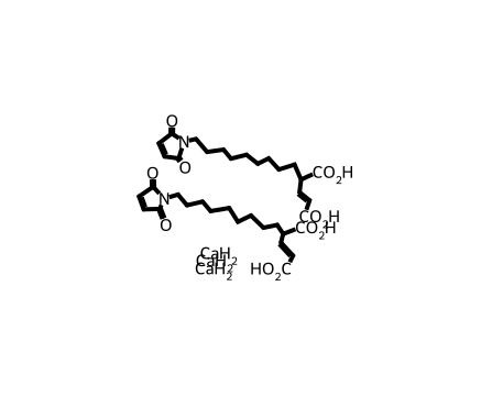 O=C(O)C=CC(CCCCCCCCCN1C(=O)C=CC1=O)C(=O)O.O=C(O)C=CC(CCCCCCCCCN1C(=O)C=CC1=O)C(=O)O.[CaH2].[CaH2].[CaH2]